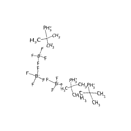 CC(C)(C)[PH3+].CC(C)(C)[PH3+].CC(C)(C)[PH3+].F[B-](F)(F)F.F[B-](F)(F)F.F[B-](F)(F)F